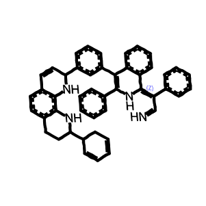 N=C/C(=C1\NC(c2ccccc2)=C(c2cccc(C3C=Cc4ccc5c(c4N3)NC(C3C=CC=CC3)CC5)c2)c2ccccc21)c1ccccc1